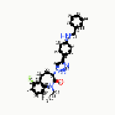 O=C1C(n2cc(-c3ccc(NCc4ccccc4)cc3)nn2)CCc2c(F)cccc2N1CC(F)(F)F